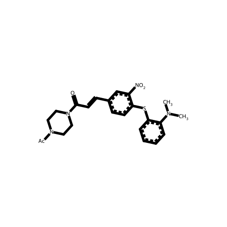 CC(=O)N1CCN(C(=O)C=Cc2ccc(Sc3ccccc3N(C)C)c([N+](=O)[O-])c2)CC1